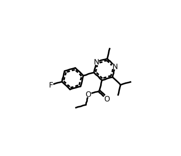 CCOC(=O)c1c(-c2ccc(F)cc2)nc(C)nc1C(C)C